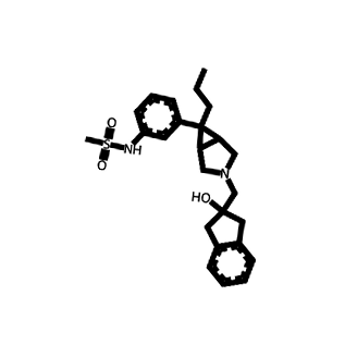 CCCC1(c2cccc(NS(C)(=O)=O)c2)C2CN(CC3(O)Cc4ccccc4C3)CC21